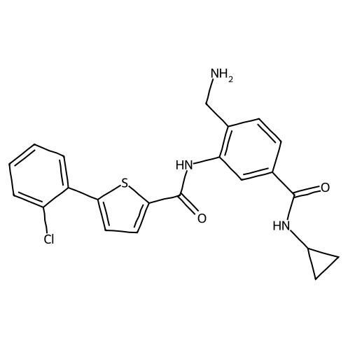 NCc1ccc(C(=O)NC2CC2)cc1NC(=O)c1ccc(-c2ccccc2Cl)s1